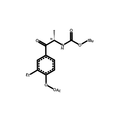 CCc1cc(C(=O)[C@H](C)NC(=O)OC(C)(C)C)ccc1OOC(C)=O